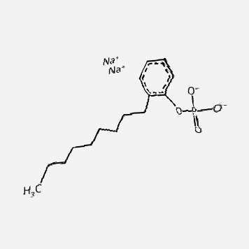 CCCCCCCCCc1ccccc1OP(=O)([O-])[O-].[Na+].[Na+]